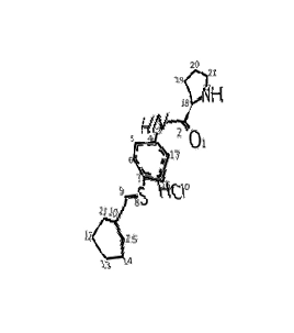 Cl.O=C(Nc1ccc(SCC2CCCCC2)cc1)[C@H]1CCCN1